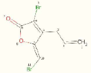 C=CCC1=C(Br)C(=O)OC1=CBr